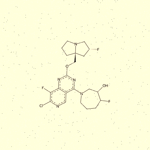 OC1CN(c2nc(OC[C@@]34CCCN3C[C@H](F)C4)nc3c(F)c(Cl)ncc23)CCCC1F